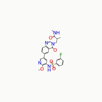 CNC(=O)C(C)Cn1cnc2ccc(-c3cnc(OC)c(NS(=O)(=O)c4cccc(F)c4)c3)cc2c1=O